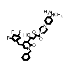 CN(C)c1ccc(N2CCN(C(=O)C(=O)C=C(O)c3cc(Cc4cc(F)c(F)c(F)c4)cn(Cc4ccccc4)c3=O)CC2)cc1